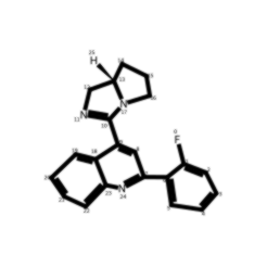 Fc1ccccc1-c1cc(C2=NC[C@@H]3CCCN23)c2ccccc2n1